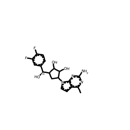 Cc1nc(N)nc2c1ccn2C1CC([C@@H](O)c2ccc(F)c(F)c2)C(O)C1O